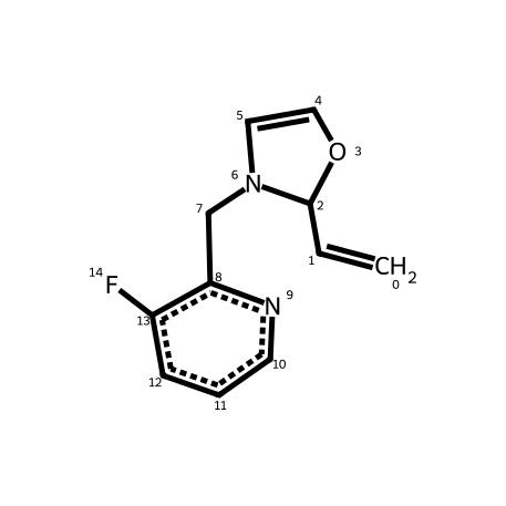 C=CC1OC=CN1Cc1ncccc1F